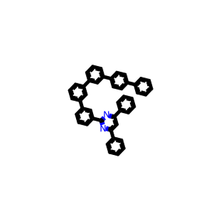 c1ccc(-c2ccc(-c3cccc(-c4cccc(-c5cccc(-c6nc(-c7ccccc7)cc(-c7ccccc7)n6)c5)c4)c3)cc2)cc1